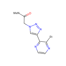 CCc1nccnc1-c1cn(CC(=O)NC)nn1